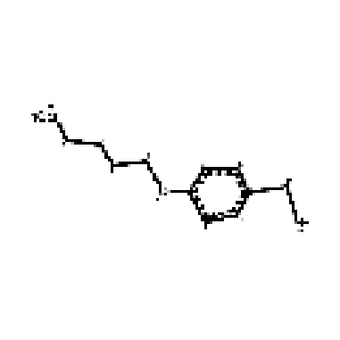 CCCCCCCCCCCCOc1ccc(CS)cc1